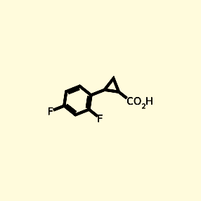 O=C(O)C1CC1c1ccc(F)cc1F